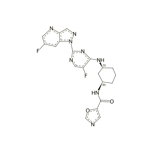 O=C(N[C@@H]1CCC[C@H](Nc2nc(-n3ncc4ncc(F)cc43)ncc2F)C1)c1cnco1